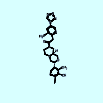 Cc1cc(-n2cnnn2)cnc1CC(=O)N1CCN2C[C@@H](c3ccc(F)c(C#N)c3C)OC[C@@H]2C1